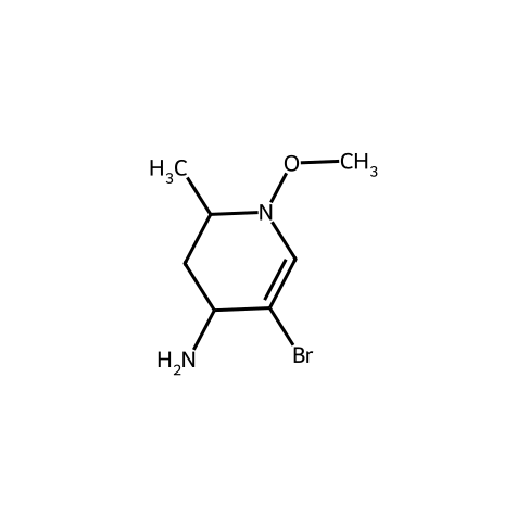 CON1C=C(Br)C(N)CC1C